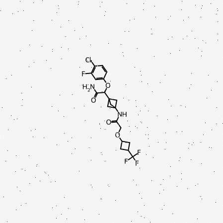 NC(=O)C(Oc1ccc(Cl)c(F)c1)C12CC(NC(=O)COC3CC(C(F)(F)F)C3)(C1)C2